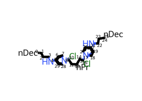 CCCCCCCCCCCCCNc1cc[n+](C(Cl)CC(CCC)CC(Cl)[n+]2ccc(NCCCCCCCCCCCCC)cc2)cc1